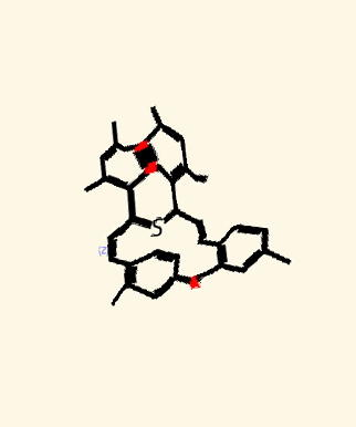 Cc1ccc(C=CC(SC(/C=C\c2ccc(C)cc2C)c2ccc(C)cc2C)c2ccc(C)cc2C)c(C)c1